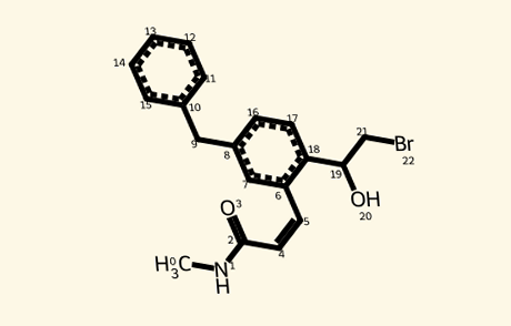 CNC(=O)/C=C\c1cc(Cc2ccccc2)ccc1C(O)CBr